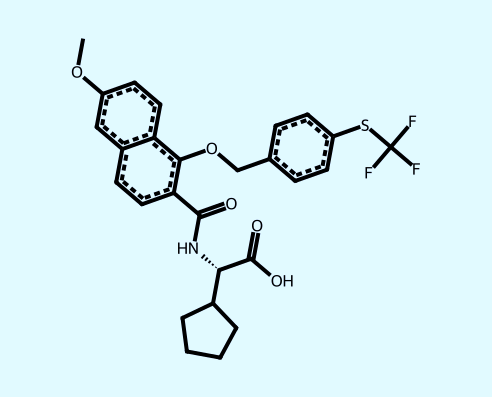 COc1ccc2c(OCc3ccc(SC(F)(F)F)cc3)c(C(=O)N[C@H](C(=O)O)C3CCCC3)ccc2c1